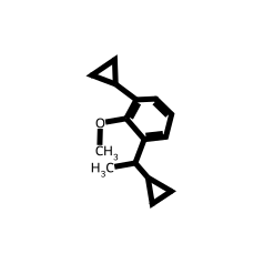 COc1c(C2CC2)cccc1C(C)C1CC1